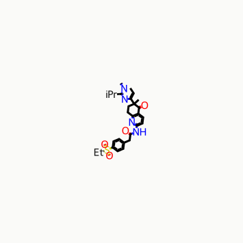 C=N/C(=N\C(=C/C)C1(C)CCc2nc(NC(=O)Cc3ccc(S(=O)(=O)CC)cc3)ccc2C1=O)C(C)C